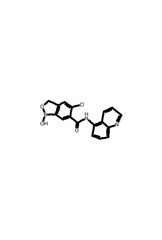 O=C(Nc1cccc2ncccc12)c1cc2c(cc1Cl)COB2O